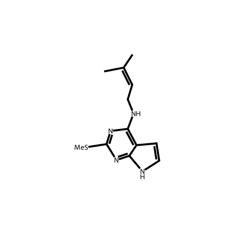 CSc1nc(NCC=C(C)C)c2cc[nH]c2n1